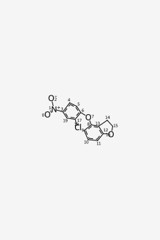 O=[N+]([O-])c1ccc(Oc2cccc3c2CCO3)c(Cl)c1